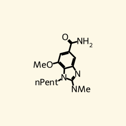 CCCCCn1c(NC)nc2cc(C(N)=O)cc(OC)c21